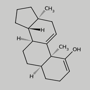 C[C@]12CC=C3[C@@H](CC[C@@H]4CCC=C(O)[C@]34C)[C@@H]1CCC2